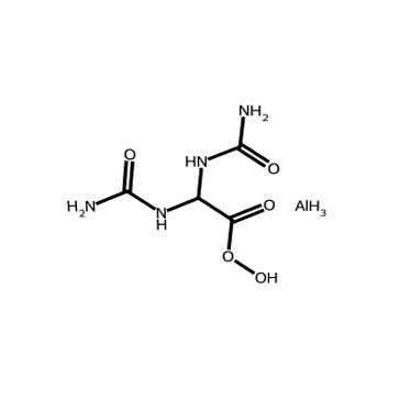 NC(=O)NC(NC(N)=O)C(=O)OO.[AlH3]